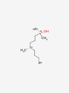 CCC[C@@](C)(O)CCC[C@@H](C)CCCC(C)C